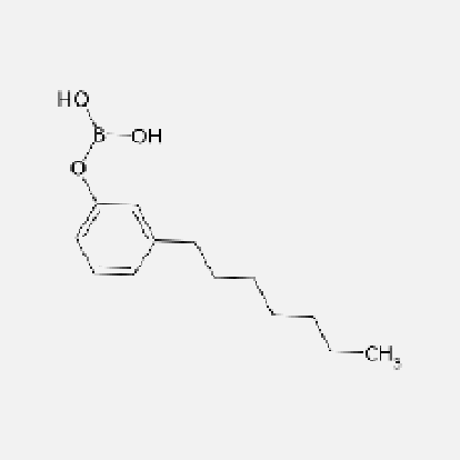 CCCCCCCc1cccc(OB(O)O)c1